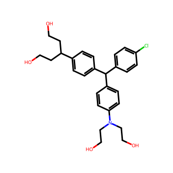 OCCC(CCO)c1ccc(C(c2ccc(Cl)cc2)c2ccc(N(CCO)CCO)cc2)cc1